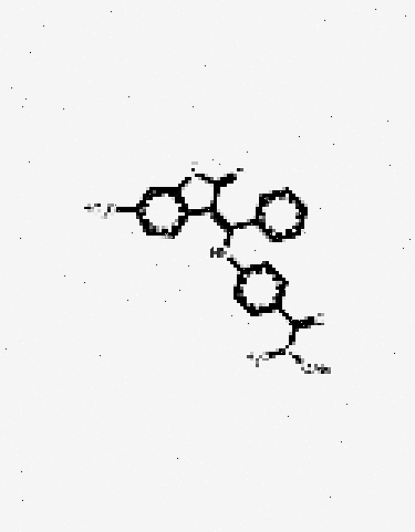 CON(C)C(=O)c1ccc(NC(=C2C(=O)Nc3cc(C(=O)O)ccc32)c2ccccc2)cc1